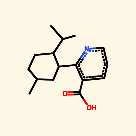 CC1CCC(C(C)C)C(c2ncccc2C(=O)O)C1